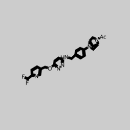 CC(=O)N1CC2CC1CN2c1ccc(CNc2ccc(OCc3ccc(C(F)F)nc3)nn2)cc1